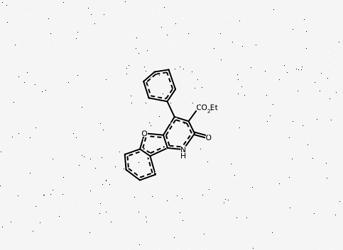 CCOC(=O)c1c(-c2ccccc2)c2oc3ccccc3c2[nH]c1=O